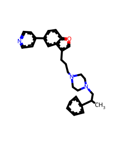 CC(CN1CCN(CCCc2coc3ccc(-c4ccncc4)cc23)CC1)c1ccccc1